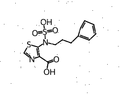 O=C(O)c1ncsc1N(CCCc1ccccc1)S(=O)(=O)O